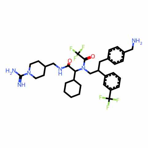 N=C(N)N1CCC(CNC(=O)C(C2CCCCC2)N(CC(Cc2ccc(CN)cc2)c2cccc(C(F)(F)F)c2)C(=O)C(F)(F)F)CC1